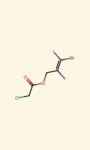 O=C(CCl)OCC(I)=C(Br)I